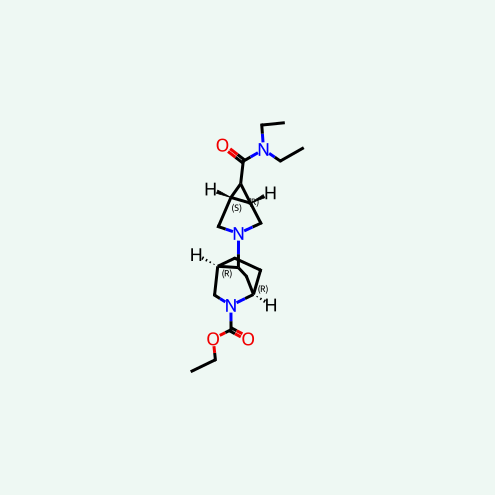 CCOC(=O)N1C[C@H]2CC[C@@H]1CC2N1C[C@@H]2C(C(=O)N(CC)CC)[C@@H]2C1